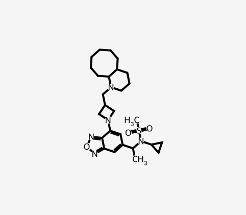 CC(c1cc(N2CC(CN3CCCC4CCCCCCC43)C2)c2nonc2c1)N(C1CC1)S(C)(=O)=O